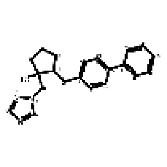 OC1(Cn2cncn2)CCCC1Cc1ccc(-c2ccccc2)cc1